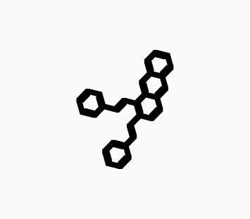 C(=C\c1ccc2cc3ccccc3cc2c1/C=C/c1ccccc1)/c1ccccc1